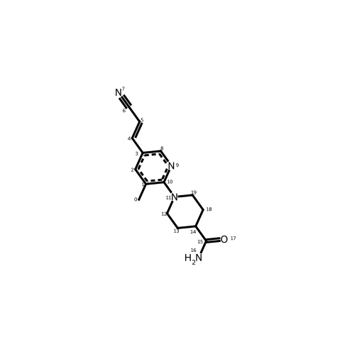 Cc1cc(/C=C/C#N)cnc1N1CCC(C(N)=O)CC1